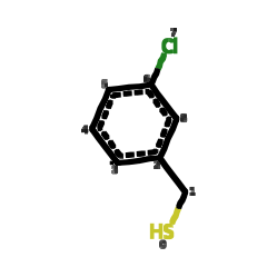 SCc1[c]ccc(Cl)c1